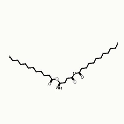 N=C(CCC(=O)OC(=O)CCCCCCCCCCI)OC(=O)CCCCCCCCCCI